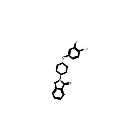 N#Cc1ccc(O[C@H]2CC[C@H](N3Cc4ccccc4C3=O)CC2)cc1Br